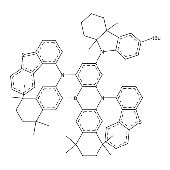 CC(C)(C)c1ccc2c(c1)C1(C)CCCCC1(C)N2c1cc2c3c(c1)N(c1cccc4sc5ccccc5c14)c1cc4c(cc1B3c1cc3c(cc1N2c1cccc2sc5ccccc5c12)C(C)(C)CCC3(C)C)C(C)(C)CCC4(C)C